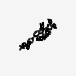 COc1ccc(-c2[nH]c3ccc(C4CCN(C(=O)OC(C)(C)C)CC4)cc3c2C(O)C(F)(F)F)cc1OC